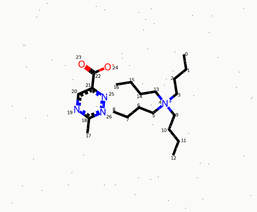 CCCC[N+](CCCC)(CCCC)CCCC.Cc1ncc(C(=O)[O-])nn1